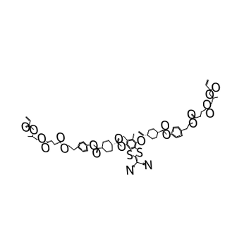 C=CC(=O)OC(C)COC(=O)CCC(=O)OCCc1ccc(OC(=O)[C@H]2CC[C@H](C(=C)Oc3c(C)c(C)c(OC(=O)[C@H]4CC[C@H](C(=O)Oc5ccc(CCOC(=O)CCC(=O)OCC(C)OC(=O)C=C)cc5)CC4)c4c3SC(=C(C#N)C#N)S4)CC2)cc1